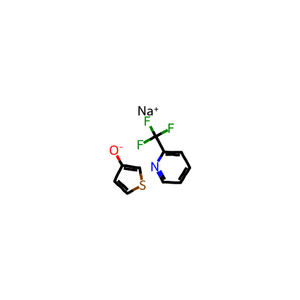 FC(F)(F)c1ccccn1.[Na+].[O-]c1ccsc1